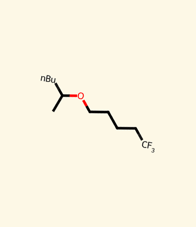 CCCCC(C)OCCCCC(F)(F)F